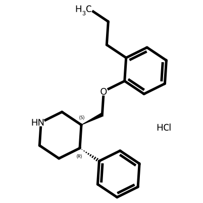 CCCc1ccccc1OC[C@@H]1CNCC[C@H]1c1ccccc1.Cl